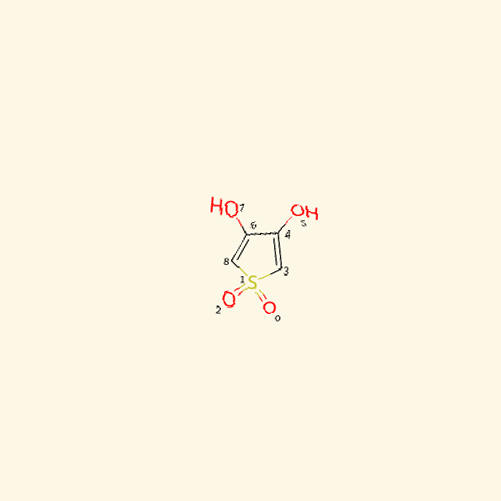 O=S1(=O)C=C(O)C(O)=C1